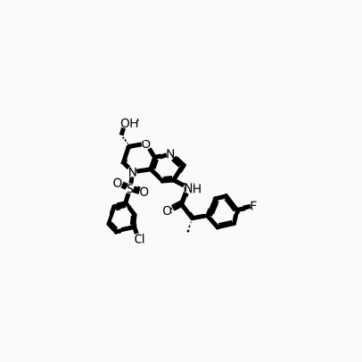 C[C@H](C(=O)Nc1cnc2c(c1)N(S(=O)(=O)c1cccc(Cl)c1)C[C@H](CO)O2)c1ccc(F)cc1